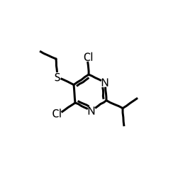 CCSc1c(Cl)nc(C(C)C)nc1Cl